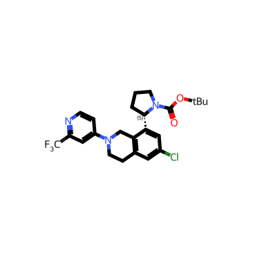 CC(C)(C)OC(=O)N1CCC[C@H]1c1cc(Cl)cc2c1CN(c1ccnc(C(F)(F)F)c1)CC2